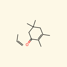 C=CC.CC1=C(C)C(=O)CC(C)(C)C1